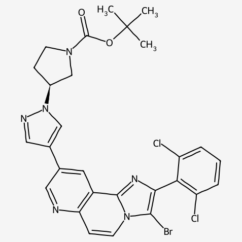 CC(C)(C)OC(=O)N1CC[C@H](n2cc(-c3cnc4ccn5c(Br)c(-c6c(Cl)cccc6Cl)nc5c4c3)cn2)C1